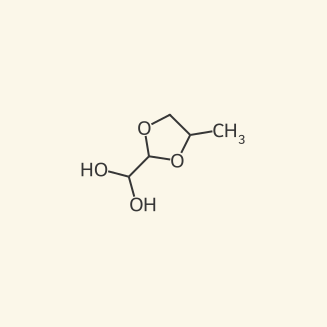 CC1COC(C(O)O)O1